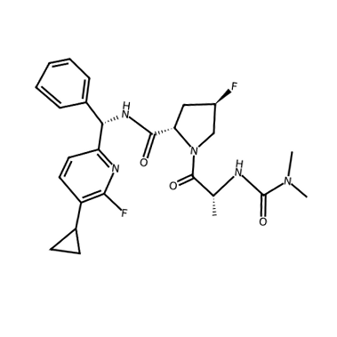 C[C@@H](NC(=O)N(C)C)C(=O)N1C[C@H](F)C[C@H]1C(=O)N[C@@H](c1ccccc1)c1ccc(C2CC2)c(F)n1